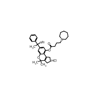 CCCC(C)(c1ccccc1)c1cc(OC(=O)CCCN2CCCCCC2)c2c(c1)OC(C)(C)C1=C2CCC1.Cl